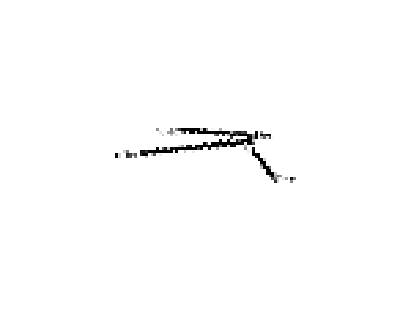 CCCCCCCCCCCCCCCCCCCCCCCCCCCCCCCCCCCCCC.CCCCCCCCCCCCCCCCCCCCCCCCCCCCCCCCCCCCCC(=O)OCCCCCCCCCCCCCCCCCCC